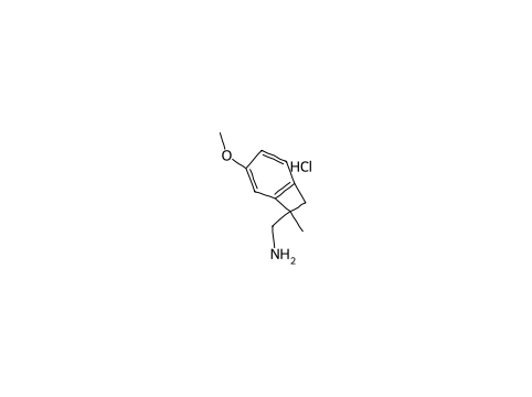 COc1ccc2c(c1)C(C)(CN)C2.Cl